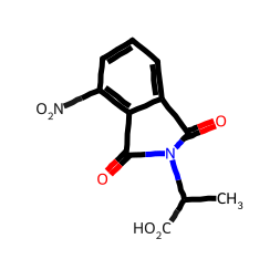 CC(C(=O)O)N1C(=O)c2cccc([N+](=O)[O-])c2C1=O